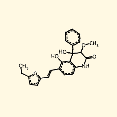 CCc1ccc(/C=C/c2ccc3c(c2O)C(O)(c2ccccc2)C(OC)C(=O)N3)o1